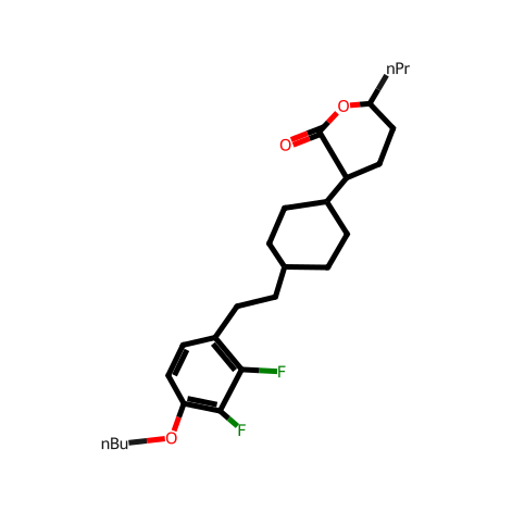 CCCCOc1ccc(CCC2CCC(C3CCC(CCC)OC3=O)CC2)c(F)c1F